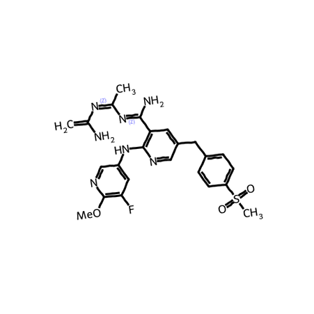 C=C(N)/N=C(C)\N=C(/N)c1cc(Cc2ccc(S(C)(=O)=O)cc2)cnc1Nc1cnc(OC)c(F)c1